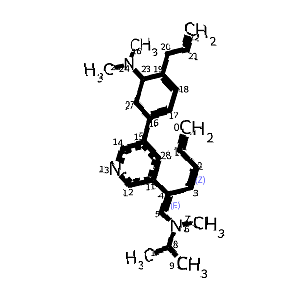 C=C/C=C\C(=C/N(C)C(C)C)c1cncc(C2=CC=C(CC=C)C(N(C)C)C2)c1